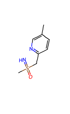 Cc1ccc(CS(C)(=N)=O)nc1